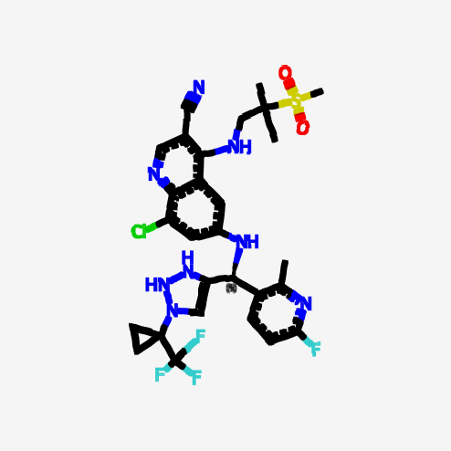 Cc1nc(F)ccc1[C@H](Nc1cc(Cl)c2ncc(C#N)c(NCC(C)(C)S(C)(=O)=O)c2c1)C1=CN(C2(C(F)(F)F)CC2)NN1